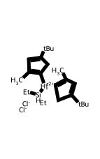 CC[SiH](CC)[Hf+2]([C]1=C(C)C=C(C(C)(C)C)C1)[C]1=C(C)C=C(C(C)(C)C)C1.[Cl-].[Cl-]